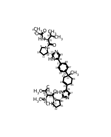 COC(=O)N[C@H](C(=O)N1CCC[C@H]1c1ncc(-c2ccc(C3(C)CC=C(c4cnc([C@@H]5CCCN5C(=O)[C@H](C(C)C)N(C)C)[nH]4)CC3)cc2)[nH]1)C(C)C